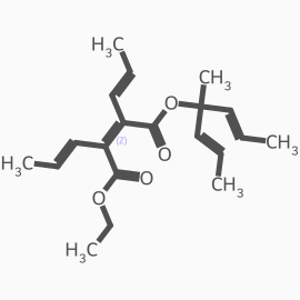 CC=C/C(C(=O)OCC)=C(\C=CC)C(=O)OC(C)(C=CC)C=CC